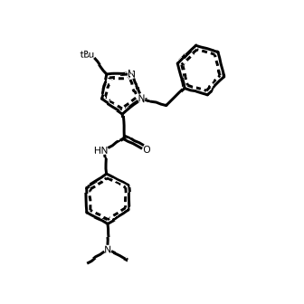 CN(C)c1ccc(NC(=O)c2cc(C(C)(C)C)nn2Cc2ccccc2)cc1